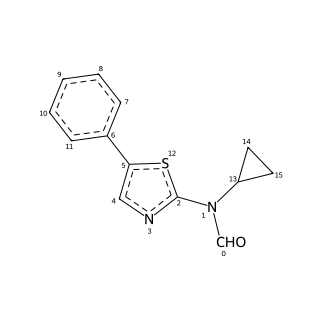 O=CN(c1ncc(-c2ccccc2)s1)C1CC1